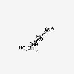 CCCNC(=O)COCCOCCNC(=O)COCCOCCNC(=O)CC[C@H](N)C(=O)O